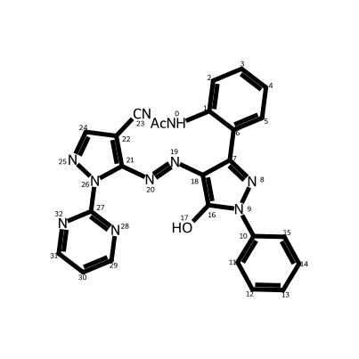 CC(=O)Nc1ccccc1-c1nn(-c2ccccc2)c(O)c1N=Nc1c(C#N)cnn1-c1ncccn1